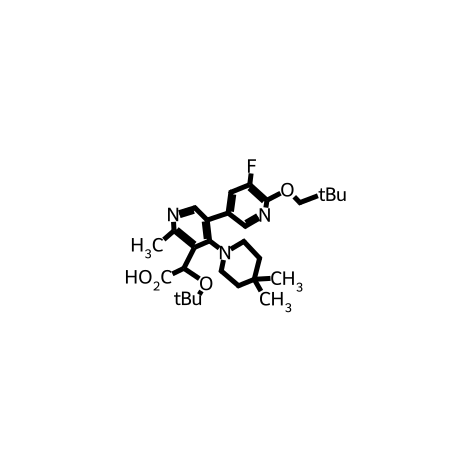 Cc1ncc(-c2cnc(OCC(C)(C)C)c(F)c2)c(N2CCC(C)(C)CC2)c1C(OC(C)(C)C)C(=O)O